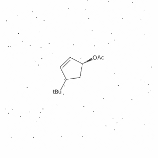 CC(=O)O[C@@H]1C=C[C](C(C)(C)C)C1